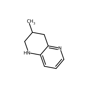 CC1CNc2cccnc2C1